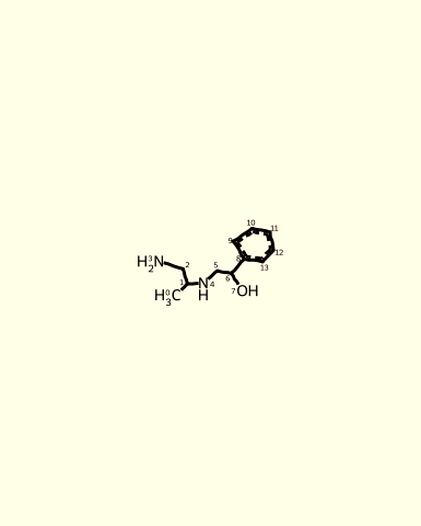 CC(CN)NCC(O)c1ccccc1